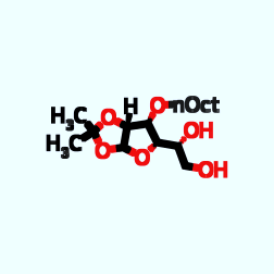 CCCCCCCCO[C@H]1[C@@H]([C@H](O)CO)OC2OC(C)(C)O[C@@H]21